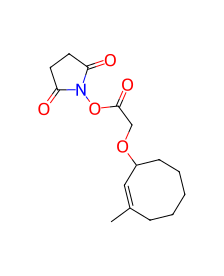 C/C1=C/C(OCC(=O)ON2C(=O)CCC2=O)CCCCC1